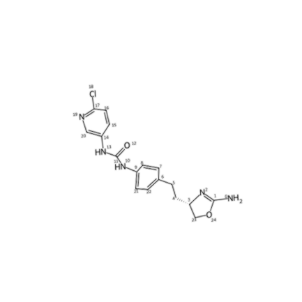 NC1=N[C@@H](CCc2ccc(NC(=O)Nc3ccc(Cl)nc3)cc2)CO1